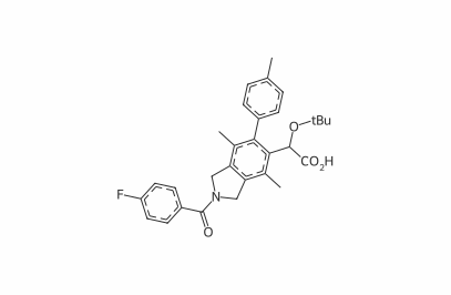 Cc1ccc(-c2c(C)c3c(c(C)c2C(OC(C)(C)C)C(=O)O)CN(C(=O)c2ccc(F)cc2)C3)cc1